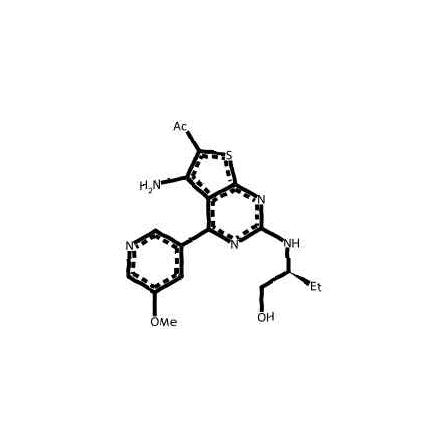 CC[C@@H](CO)Nc1nc(-c2cncc(OC)c2)c2c(N)c(C(C)=O)sc2n1